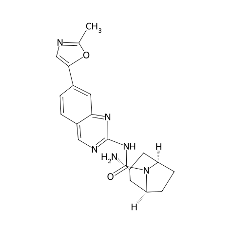 Cc1ncc(-c2ccc3cnc(NC(=O)N4[C@@H]5CC[C@H]4C[C@H](N)C5)nc3c2)o1